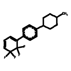 CC1CCC(c2ccc(C3=CC=CC(F)(F)C3(F)F)cc2)CC1